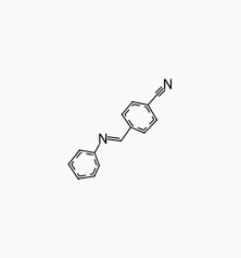 N#Cc1ccc(C=Nc2ccccc2)cc1